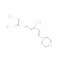 CCC(C)OCCN(C)CCN1CCNCC1